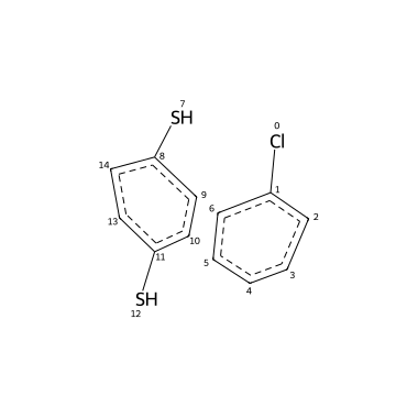 Clc1ccccc1.Sc1ccc(S)cc1